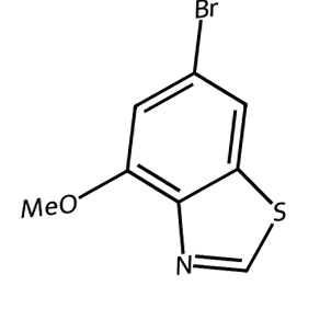 COc1cc(Br)cc2scnc12